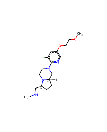 CNC[C@@H]1CC[C@@H]2CN(c3ncc(OCCOC)cc3F)CCN21